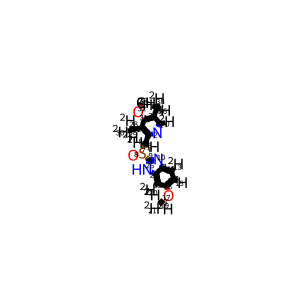 [2H]c1nc(C([2H])([2H])[S+]([O-])c2nc3c([2H])c([2H])c(OC([2H])([2H])[2H])c([2H])c3[nH]2)c(C([2H])([2H])[2H])c(OC)c1C([2H])([2H])[2H]